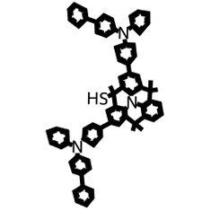 CC1(C)c2cccc3c2N2c4c1cc(-c1ccc(N(c5ccccc5)c5ccc(-c6ccccc6)cc5)cc1)cc4C(C)(S)c1cc(-c4ccc(N(c5ccccc5)c5ccc(-c6ccccc6)cc5)cc4)cc(c12)C3(C)C